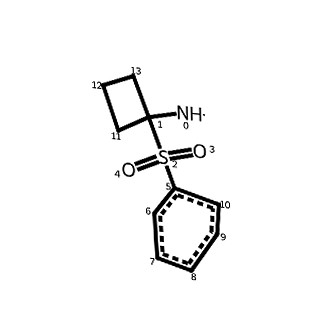 [NH]C1(S(=O)(=O)c2ccccc2)CCC1